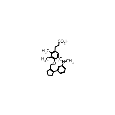 Cc1c(CCC(=O)O)ccc(OCC2=C(c3cccc(N(C)C)c3)CCC2)c1C